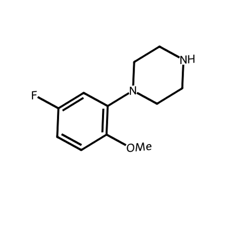 COc1ccc(F)cc1N1CCNCC1